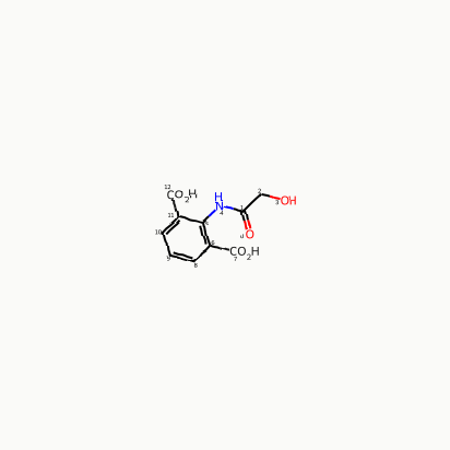 O=C(CO)Nc1c(C(=O)O)cccc1C(=O)O